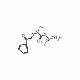 CC(C)[C@H](NCC(=O)c1ccccc1)C(=O)O[C@@H](C)C(=O)O